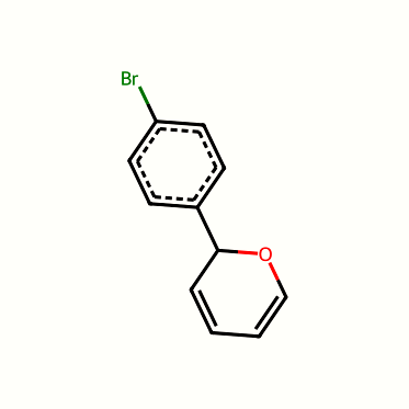 Brc1ccc(C2C=CC=CO2)cc1